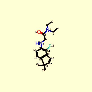 CCN(CC)C(=O)CNc1ccc2c(c1F)C=CC2(C)C